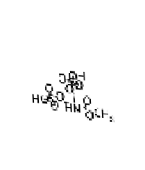 COC(=O)NC(COS(=O)(=O)O)COS(=O)(=O)O